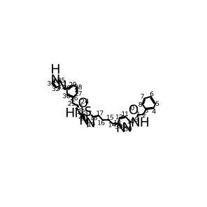 O=C(Cc1ccccc1)Nc1ccc(CCCCc2nnc(NC(=O)Cc3cccc(N4C=CNC4)c3)s2)nn1